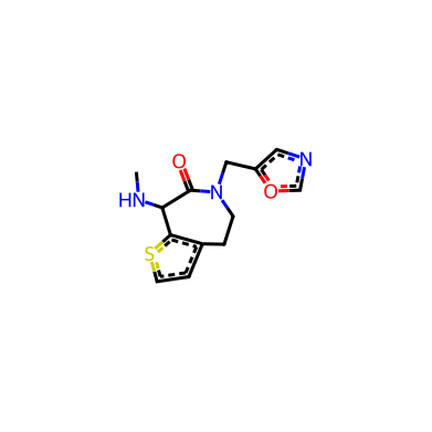 CNC1C(=O)N(Cc2cnco2)CCc2ccsc21